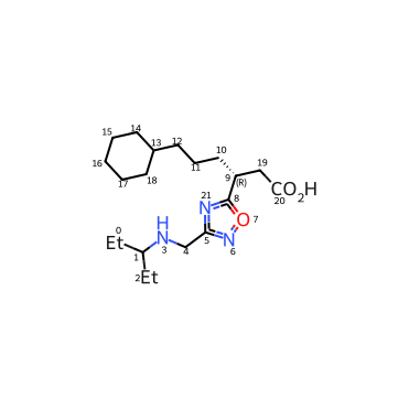 CCC(CC)NCc1noc([C@H](CCCC2CCCCC2)CC(=O)O)n1